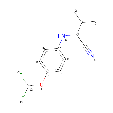 CC(C)C(C#N)Nc1ccc(OC(F)F)cc1